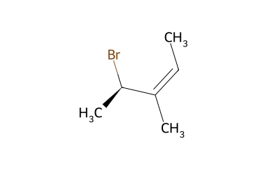 CC=C(C)[C@@H](C)Br